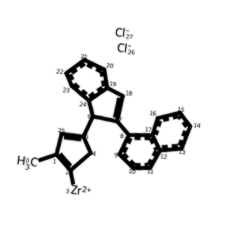 CC1=[C]([Zr+2])CC(C2C(c3cccc4ccccc34)=Cc3ccccc32)=C1.[Cl-].[Cl-]